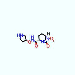 CON1C(=O)N2C[C@H]1CC[C@H]2C(=O)NO[C@H]1CCNC1